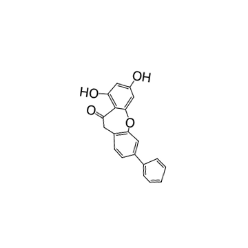 O=C1Cc2ccc(-c3ccccc3)cc2Oc2cc(O)cc(O)c21